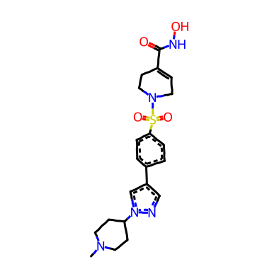 CN1CCC(n2cc(-c3ccc(S(=O)(=O)N4CC=C(C(=O)NO)CC4)cc3)cn2)CC1